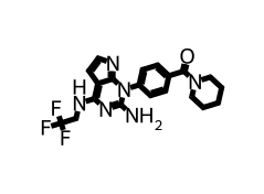 Nc1nc(NCC(F)(F)F)c2ccnc-2n1-c1ccc(C(=O)N2CCCCC2)cc1